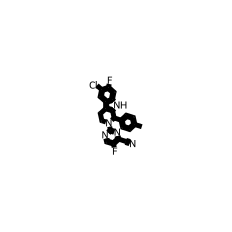 Cc1ccc(C2c3[nH]c4cc(F)c(Cl)cc4c3CCN2c2ncc(F)c(C#N)n2)cc1